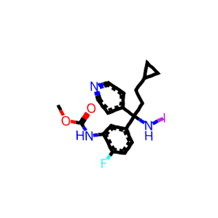 COC(=O)Nc1cc(C(CCC2CC2)(NI)c2ccncc2)ccc1F